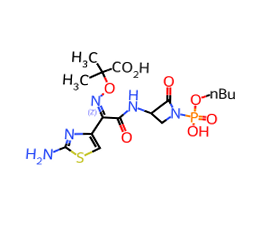 CCCCOP(=O)(O)N1CC(NC(=O)/C(=N\OC(C)(C)C(=O)O)c2csc(N)n2)C1=O